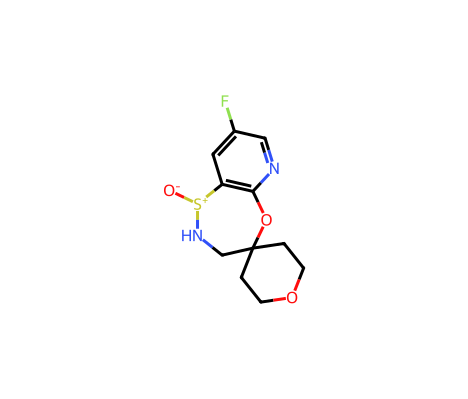 [O-][S+]1NCC2(CCOCC2)Oc2ncc(F)cc21